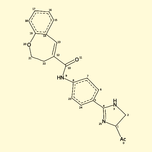 CC(=O)C1CNC(c2ccc(NC(=O)C3=Cc4ccccc4OCC3)cc2)=N1